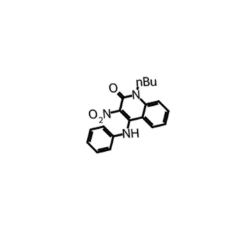 CCCCn1c(=O)c([N+](=O)[O-])c(Nc2ccccc2)c2ccccc21